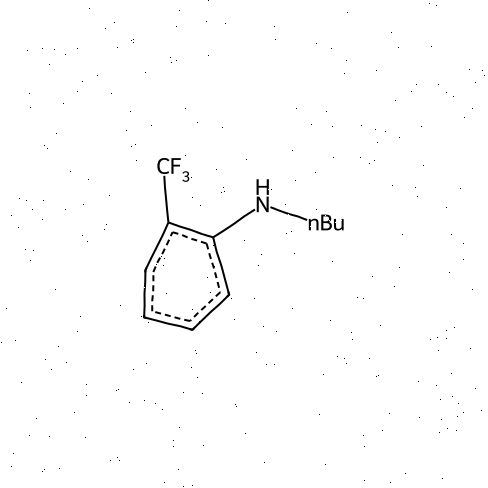 CCCCNc1ccccc1C(F)(F)F